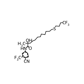 CC(O)(CCCCCCCCCCSCCCC(F)(F)F)C(=O)Nc1ccc(C#N)c(C(F)(F)F)c1